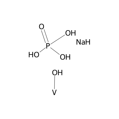 O=P(O)(O)O.[NaH].[OH][V]